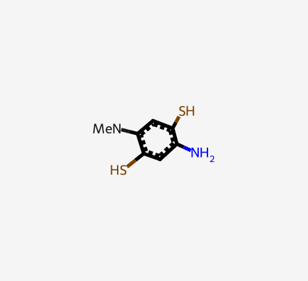 CNc1cc(S)c(N)cc1S